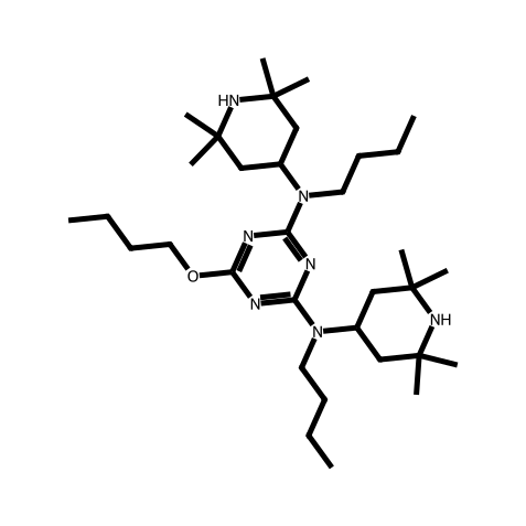 CCCCOc1nc(N(CCCC)C2CC(C)(C)NC(C)(C)C2)nc(N(CCCC)C2CC(C)(C)NC(C)(C)C2)n1